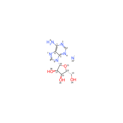 Nc1ncnc2c1ncn2[C@@H]1O[C@H](CO)[C@@H](O)[C@H]1O.[N]